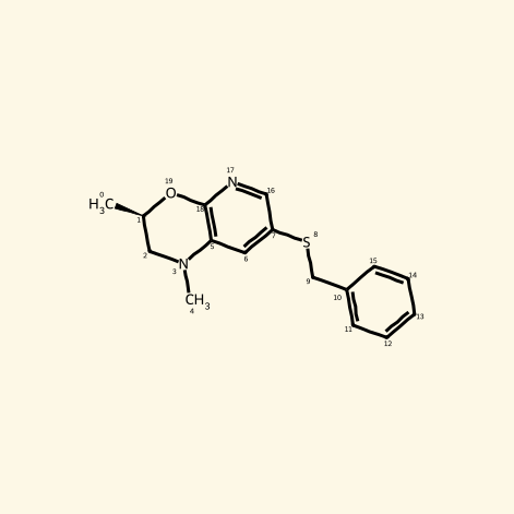 C[C@@H]1CN(C)c2cc(SCc3ccccc3)cnc2O1